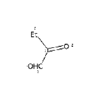 CCC(=O)[C]=O